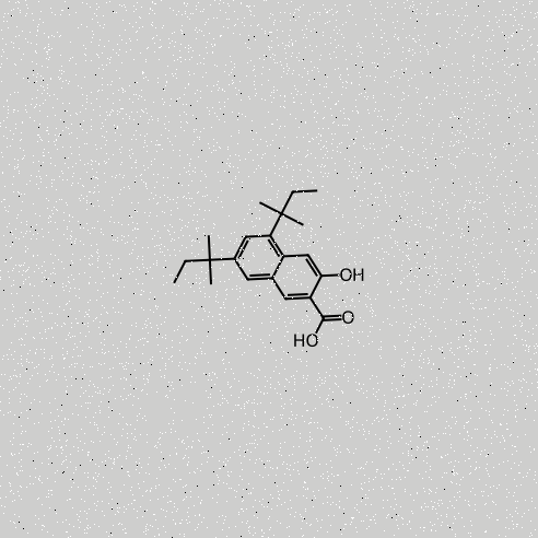 CCC(C)(C)c1cc(C(C)(C)CC)c2cc(O)c(C(=O)O)cc2c1